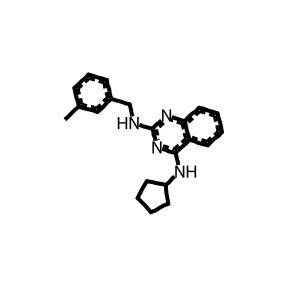 Cc1cccc(CNc2nc(NC3CCCC3)c3ccccc3n2)c1